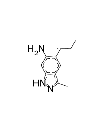 CC[CH]c1cc2c(C)n[nH]c2cc1N